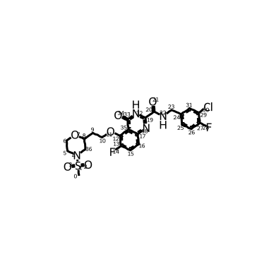 CS(=O)(=O)N1CCOC(CCOc2c(F)ccc3nc(C(=O)NCc4ccc(F)c(Cl)c4)[nH]c(=O)c23)C1